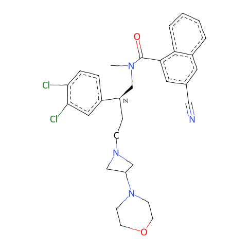 CN(C[C@@H](CCN1CC(N2CCOCC2)C1)c1ccc(Cl)c(Cl)c1)C(=O)c1cc(C#N)cc2ccccc12